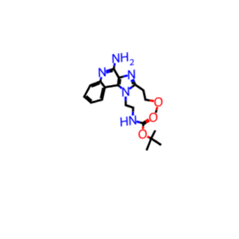 COCCc1nc2c(N)nc3ccccc3c2n1CCNC(=O)OC(C)(C)C